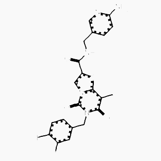 Cc1c(=O)n(Cc2ccc(Cl)c(F)c2)c(=O)n2cc(C(=O)NCc3ccc(N)nc3)sc12